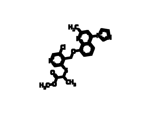 COC(=O)C(C)Sc1cncc(Cl)c1COc1cccc2c(-n3ccnc3)cc(C)nc12